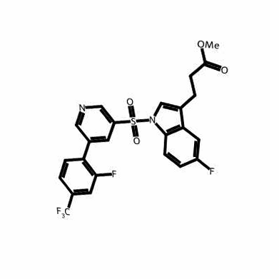 COC(=O)CCc1cn(S(=O)(=O)c2cncc(-c3ccc(C(F)(F)F)cc3F)c2)c2ccc(F)cc12